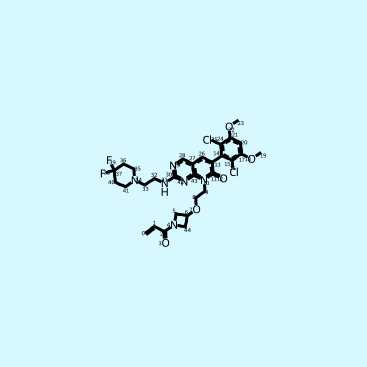 C=CC(=O)N1CC(OCCn2c(=O)c(-c3c(Cl)c(OC)cc(OC)c3Cl)cc3cnc(NCCN4CCC(F)(F)CC4)nc32)C1